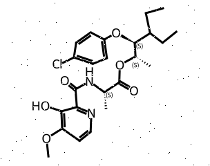 CCC(CC)[C@H](Oc1ccc(Cl)cc1)[C@H](C)OC(=O)[C@H](C)NC(=O)c1nccc(OC)c1O